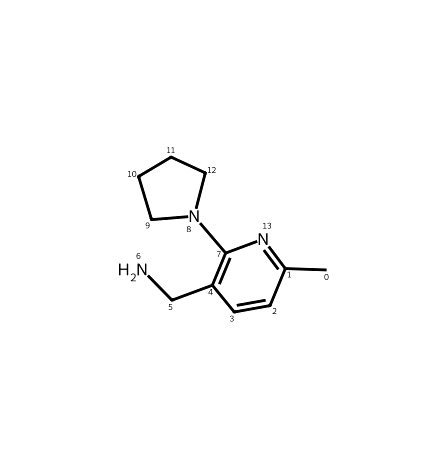 Cc1ccc(CN)c(N2CCCC2)n1